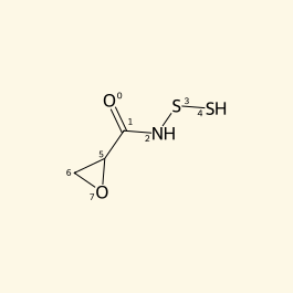 O=C(NSS)C1CO1